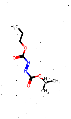 CCCOC(=O)N=NC(=O)O[SiH](C)C